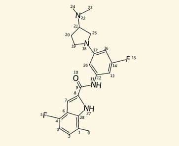 Cc1ccc(F)c2cc(C(=O)Nc3cc(F)cc(N4CCC(N(C)C)C4)c3)[nH]c12